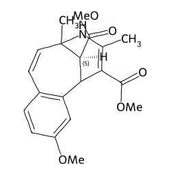 COC(=O)C1=C(C)NC2(C)C=Cc3ccc(OC)cc3C1[C@@H]2C(=O)OC